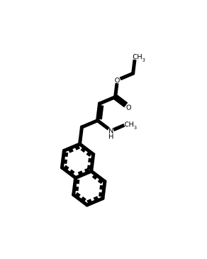 CCOC(=O)/C=C(/Cc1ccc2ccccc2c1)NC